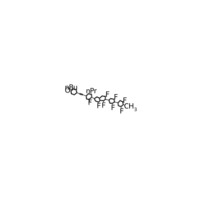 CCCCOc1ccc(C#Cc2cc(F)c(-c3cc(F)c4c(F)c(-c5cc(F)c(-c6cc(F)c(C)c(F)c6)c(F)c5)c(F)cc4c3)cc2CCC)cc1